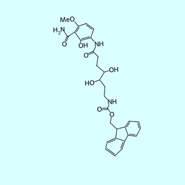 COc1ccc(NC(=O)CCC(O)C(O)CCNC(=O)OCC2c3ccccc3-c3ccccc32)c(O)c1C(N)=O